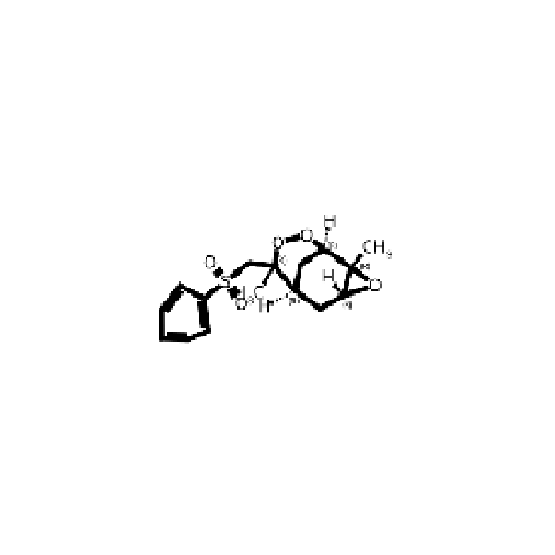 C[C@@]12O[C@@H]1C[C@@H]1C[C@H]2OO[C@@]1(C)CS(=O)(=O)c1ccccc1